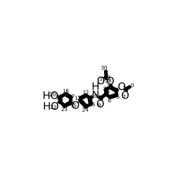 CC(=O)Oc1ccc(C(=O)Nc2ccc(Oc3ccc(O)c(O)c3)cc2)cc1OC(C)=O